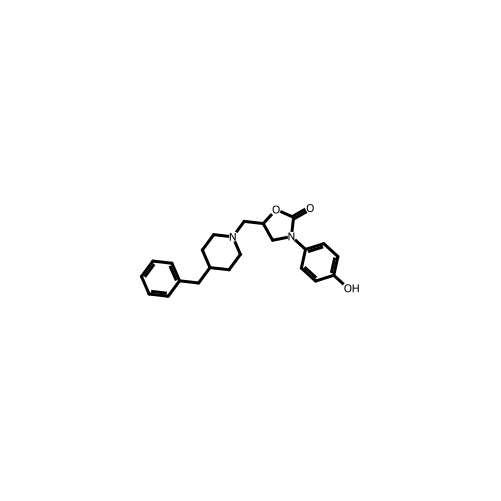 O=C1OC(CN2CCC(Cc3ccccc3)CC2)CN1c1ccc(O)cc1